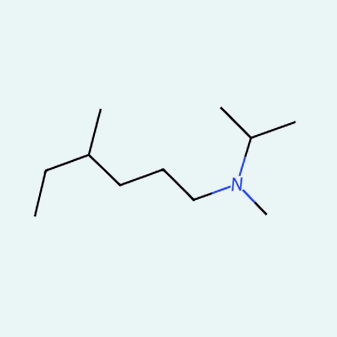 CCC(C)CCCN(C)C(C)C